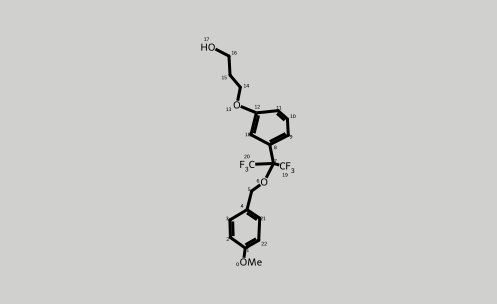 COc1ccc(COC(c2cccc(OCCCO)c2)(C(F)(F)F)C(F)(F)F)cc1